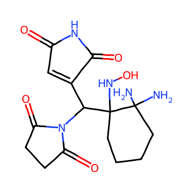 NC1(N)CCCCC1(NO)C(C1=CC(=O)NC1=O)N1C(=O)CCC1=O